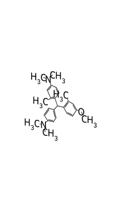 COc1ccc(C(c2ccc(N(C)C)cc2)c2ccc(N(C)C)cc2C)c(C)c1